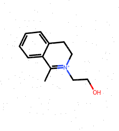 CC1=[N+](CCO)CCc2ccccc21